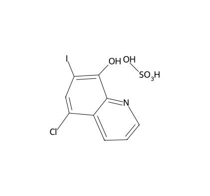 O=S(=O)(O)O.Oc1c(I)cc(Cl)c2cccnc12